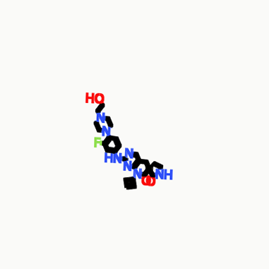 O=C1NCC[C@@]12Cc1cnc(Nc3ccc(N4CCN(CCO)CC4)c(F)c3)nc1N(C13CC(C1)C3)C2=O